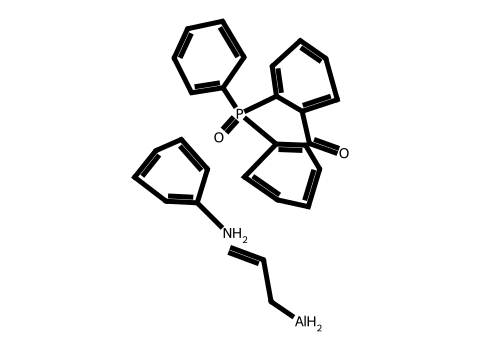 C=C[CH2][AlH2].Nc1ccccc1.O=Cc1ccccc1P(=O)(c1ccccc1)c1ccccc1